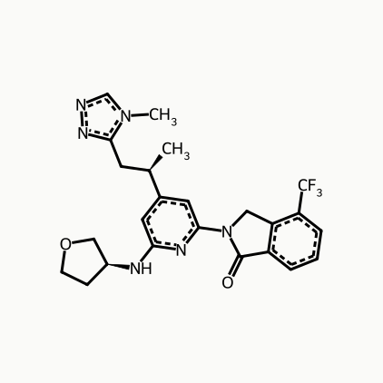 C[C@H](Cc1nncn1C)c1cc(N[C@H]2CCOC2)nc(N2Cc3c(cccc3C(F)(F)F)C2=O)c1